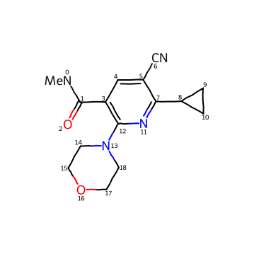 CNC(=O)c1cc(C#N)c(C2CC2)nc1N1CCOCC1